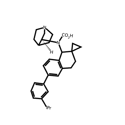 CC(C)c1cccc(-c2ccc3c(c2)CCC2(CC2)C3N(C(=O)O)[C@@H]2CN3CCC2CC3)c1